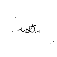 CC(C)CN1CC2(CNCC(C)(C)O2)C1